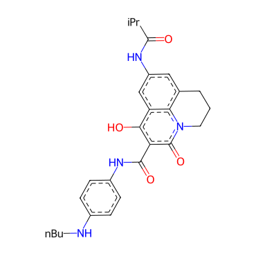 CCCCNc1ccc(NC(=O)c2c(O)c3cc(NC(=O)C(C)C)cc4c3n(c2=O)CCC4)cc1